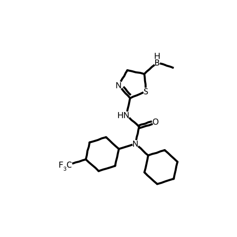 CBC1CN=C(NC(=O)N(C2CCCCC2)C2CCC(C(F)(F)F)CC2)S1